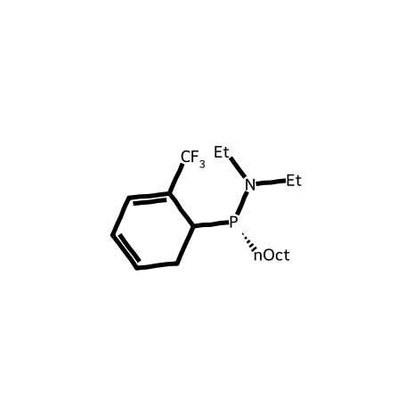 CCCCCCCC[P@](C1CC=CC=C1C(F)(F)F)N(CC)CC